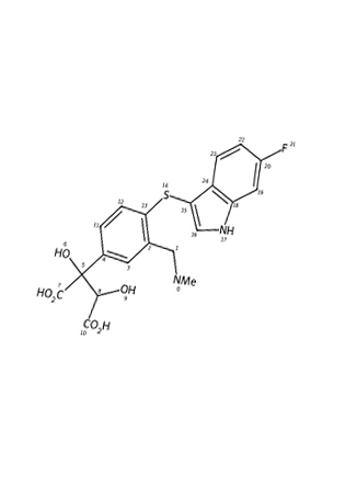 CNCc1cc(C(O)(C(=O)O)C(O)C(=O)O)ccc1Sc1c[nH]c2cc(F)ccc12